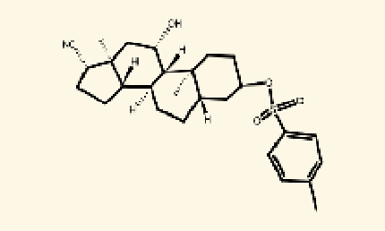 Cc1ccc(S(=O)(=O)O[C@@H]2CC[C@@]3(C)[C@@H](CC[C@@H]4[C@@H]3[C@@H](O)C[C@]3(C)[C@@H](C#N)CC[C@@H]43)C2)cc1